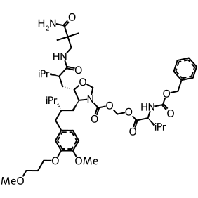 COCCCOc1cc(C[C@@H](C[C@H]2[C@H](C[C@H](C(=O)NCC(C)(C)C(N)=O)C(C)C)OCN2C(=O)OCOC(=O)[C@@H](NC(=O)OCc2ccccc2)C(C)C)C(C)C)ccc1OC